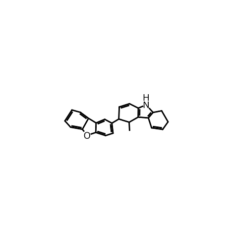 CC1c2c([nH]c3c2C=CCC3)C=CC1c1ccc2oc3ccccc3c2c1